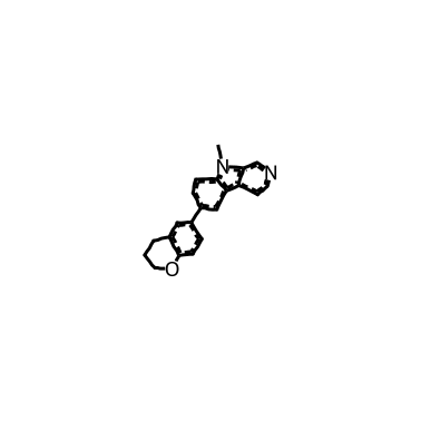 Cn1c2ccc(-c3ccc4c(c3)CCCO4)cc2c2ccncc21